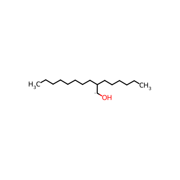 CCCCCCCCC([CH]O)CCCCCC